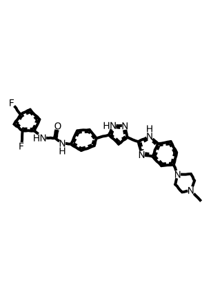 CN1CCN(c2ccc3[nH]c(-c4cc(-c5ccc(NC(=O)Nc6ccc(F)cc6F)cc5)[nH]n4)nc3c2)CC1